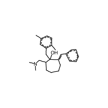 Cc1ccc(C)c(CC2(O)C(=Cc3ccccc3)CCCCC2CN(C)C)c1